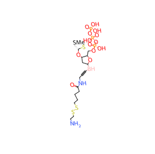 CSS[C@@H](C)O[C@@H]1C[C@H](BC#CCNC(=O)CCCCSSCCN)OC1COP(=O)(O)OP(=O)(O)OP(=O)(O)O